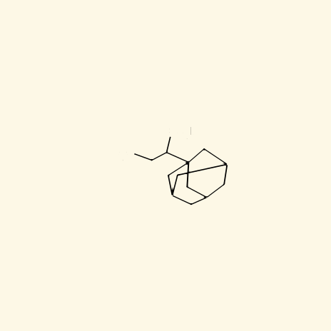 CCOC(=O)C(CC(=O)O)C12CC3CC(CC(C3)C1)C2